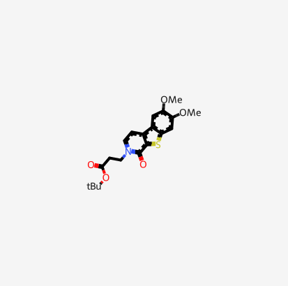 COc1cc2sc3c(=O)n(CCC(=O)OC(C)(C)C)ccc3c2cc1OC